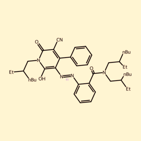 CCCCC(CC)CN(CC(CC)CCCC)C(=O)c1ccccc1/N=N/c1c(-c2ccccc2)c(C#N)c(=O)n(CC(CC)CCCC)c1O